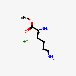 CCCOC(=O)[C@@H](N)CCCCN.Cl